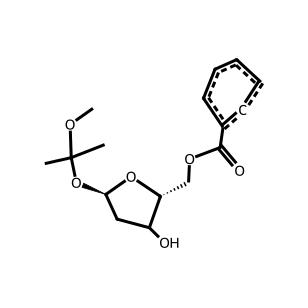 COC(C)(C)O[C@@H]1CC(O)[C@@H](COC(=O)c2ccccc2)O1